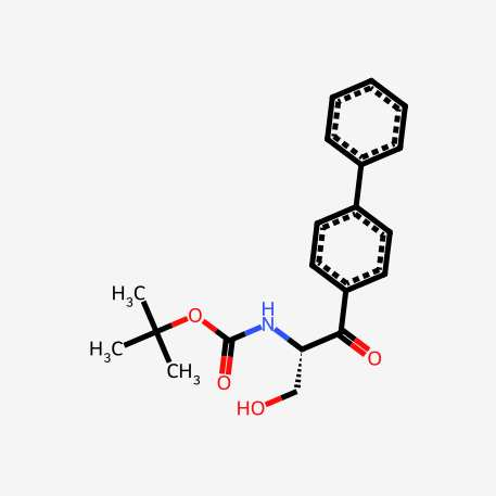 CC(C)(C)OC(=O)N[C@@H](CO)C(=O)c1ccc(-c2ccccc2)cc1